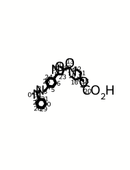 CN(/N=C/c1ccc(C2=NOC(C(=O)N3CCC(OCC(=O)O)CC3)C2)cc1)c1ccccc1